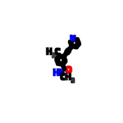 CNC(=O)c1ccc(C)c(C#Cc2cccnc2)c1